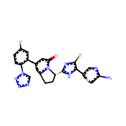 Nc1ccc(-c2[nH]c([C@@H]3CCc4cc(-c5cc(Cl)ccc5-n5cnnn5)cc(=O)n43)nc2Cl)cn1